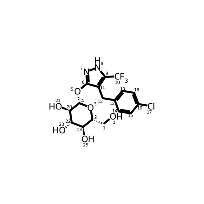 OC[C@H]1O[C@@H](Oc2n[nH]c(C(F)(F)F)c2Cc2ccc(Cl)cc2)[C@H](O)[C@@H](O)[C@@H]1O